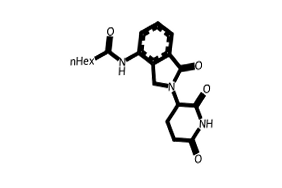 CCCCCCC(=O)Nc1cccc2c1CN(C1CCC(=O)NC1=O)C2=O